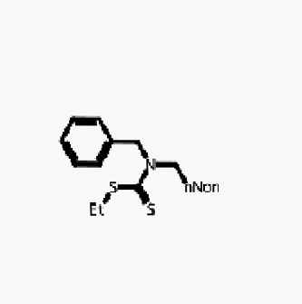 CCCCCCCCCCN(Cc1ccccc1)C(=S)SCC